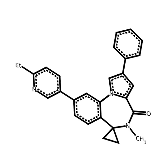 CCc1ccc(-c2ccc3c(c2)-n2cc(-c4ccccc4)cc2C(=O)N(C)C32CC2)cn1